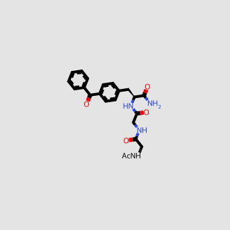 CC(=O)NCC(=O)NCC(=O)N[C@@H](Cc1ccc(C(=O)c2ccccc2)cc1)C(N)=O